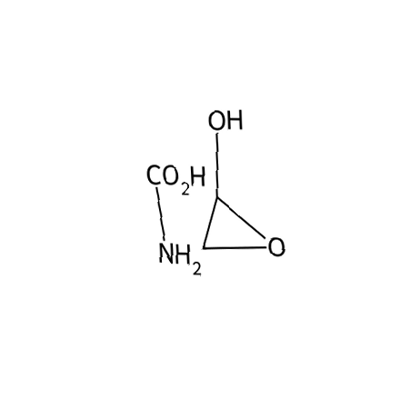 NC(=O)O.OC1CO1